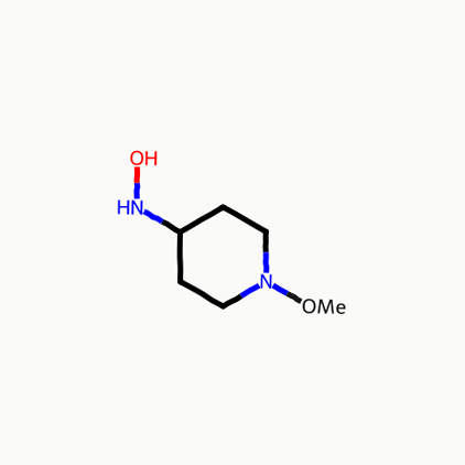 CON1CCC(NO)CC1